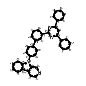 c1ccc(-c2cc(-c3ccccc3)nc(-c3cccc(-c4ccc(-n5c6ccccc6c6ccncc65)cc4)c3)n2)cc1